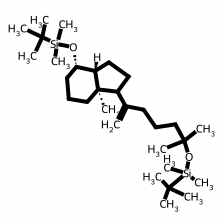 C=C(CCCC(C)(C)O[Si](C)(C)C(C)(C)C)C1CC[C@H]2[C@@H](O[Si](C)(C)C(C)(C)C)CCC[C@]12C